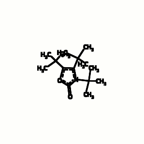 CC(C)(C)c1oc(=O)n(C(C)(C)C)c1C(C)(C)C